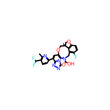 Cc1nc(-c2cc3c(n4cnnc24)N(C(=O)O)Cc2c(F)ccc4c2[C@@H](CO4)CO3)ccc1C(F)F